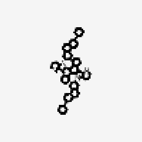 c1ccc(-c2ccc3c(ccc4cc(-n5c6cccnc6c6c7ccccc7c7c(c8ccccc8c8c9ncccc9n(-c9ccc%10c(ccc%11cc(-c%12ccccc%12)ccc%11%10)c9)c87)c65)ccc43)c2)cc1